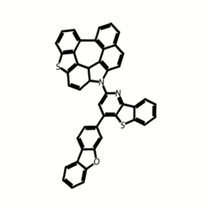 C1=CC2C3c4c(ccc5cccc(c45)-c4cccc5sc1c3c45)N2c1cc(-c2ccc3c(c2)oc2ccccc23)c2sc3ccccc3c2n1